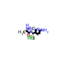 Cc1nc(N)ccc1CNC(=O)C(C)N.Cl.Cl